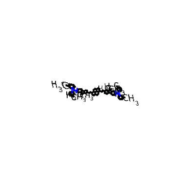 Cc1cccc(N(c2cccc(C)c2)c2ccc3c(c2)C(C)(C)c2cc(/C=C/c4ccc5ccc6c(/C=C/c7ccc8c(c7)C(C)(C)c7cc(N(c9cccc(C)c9)c9cccc(C)c9)ccc7-8)ccc7ccc4c5c76)ccc2-3)c1